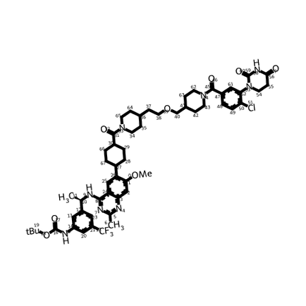 COc1cc2nc(C)nc(N[C@H](C)c3cc(NC(=O)OC(C)(C)C)cc(C(F)(F)F)c3)c2cc1C1CCC(C(=O)N2CCC(CCOCC3CCN(C(=O)c4ccc(Cl)c(N5CCC(=O)NC5=O)c4)CC3)CC2)CC1